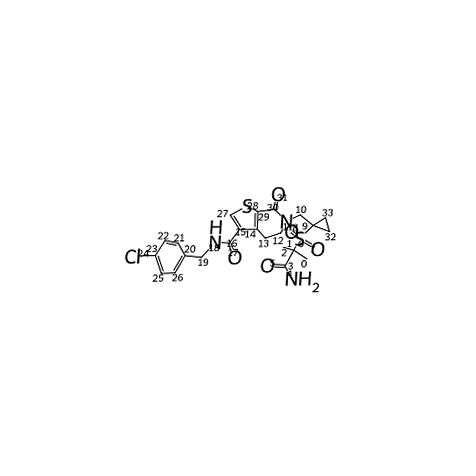 CC(C)(C(N)=O)S(=O)(=O)C1(CN2CCc3c(C(=O)NCc4ccc(Cl)cc4)csc3C2=O)CC1